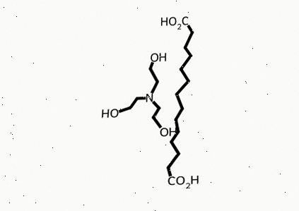 O=C(O)CCCCCCCCCCCCC(=O)O.OCCN(CCO)CCO